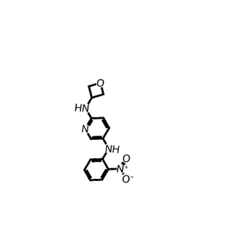 O=[N+]([O-])c1ccccc1Nc1ccc(NC2COC2)nc1